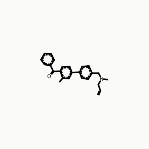 C=CCN(C)Cc1ccc(-c2ccc(C(=O)c3ccccc3)c(C)c2)cc1